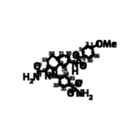 COc1ccc(S(=O)(=O)Nc2ccc3c(c2)-c2c(c(C(N)=O)nn2-c2ccc(S(N)(=O)=O)cc2)CC3)cc1